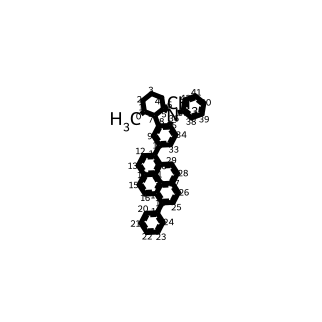 CC1CCCC2(C)C1c1cc(-c3ccc4ccc5c(-c6ccccc6)ccc6ccc3c4c65)ccc1N2c1ccccc1